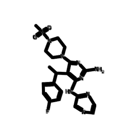 CC(c1ccc(F)cc1)c1c(Nc2cnccn2)nc(N)nc1N1CCN(S(C)(=O)=O)CC1